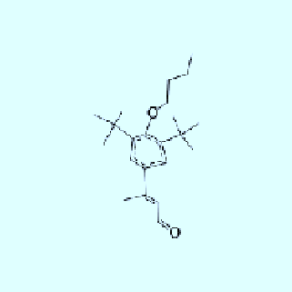 CCCCOc1c(C(C)(C)C)cc(C(C)=CC=O)cc1C(C)(C)C